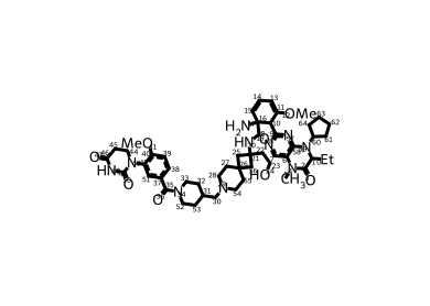 CCC1C(=O)N(C)c2cnc(C3C(OC)=CC=CC3(N)C(=O)NC3(CCO)CC4(CCN(CC5CCN(C(=O)c6ccc(OC)c(N7CCC(=O)NC7=O)c6)CC5)CC4)C3)nc2N1C1CCCC1